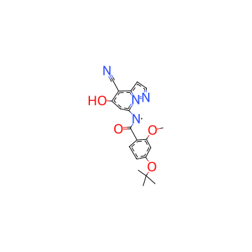 COc1cc(OC(C)(C)C)ccc1C(=O)[N]c1cc(O)c(C#N)c2ccnn12